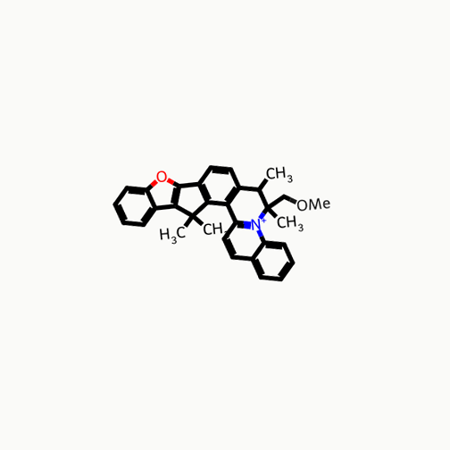 COCC1(C)C(C)c2ccc3c(c2-c2ccc4ccccc4[n+]21)C(C)(C)c1c-3oc2ccccc12